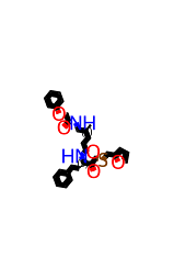 C[C@@H](CCC(=O)N[C@@H](CCc1ccccc1)C(=O)CSCc1ccco1)CNC(=O)COc1ccccc1